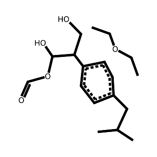 CC(C)Cc1ccc(C(CO)C(O)OC=O)cc1.CCOCC